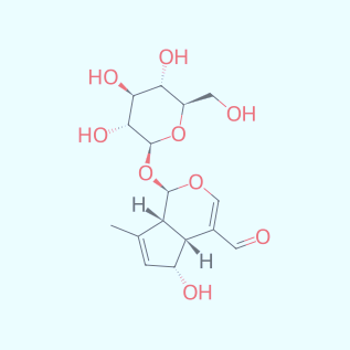 CC1=C[C@@H](O)[C@H]2C(C=O)=CO[C@H](O[C@@H]3O[C@H](CO)[C@@H](O)[C@H](O)[C@H]3O)[C@@H]12